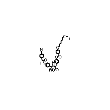 CCCCCCCOc1ccc(C(=O)Oc2ccc(C[C@H](NC(=O)c3ccc(NC(=O)Cc4ccc(C#N)cc4)cc3)C(=O)O)cc2)cc1